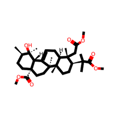 COC(=O)C[C@]1(C)[C@@H](C(C)(C)C(=O)OC)CC[C@@]2(C)[C@H]1CC=C1[C@@H]3[C@](C(=O)OC)(CC[C@@H](C)[C@@]3(C)O)CC[C@@]12C